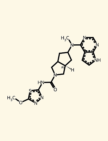 COc1nnc(NC(=O)N2CC3CC(N(C)c4ncnc5[nH]ccc45)C[C@H]3C2)s1